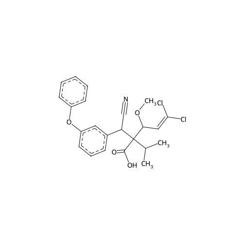 COC(C=C(Cl)Cl)C(C(=O)O)(C(C)C)C(C#N)c1cccc(Oc2ccccc2)c1